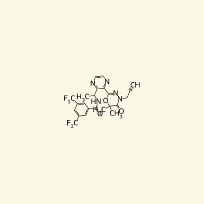 C#CCN1N=C(c2nccnc2C(C)NC(=O)c2cc(C(F)(F)F)cc(C(F)(F)F)c2)OC(C)(C)C1=O